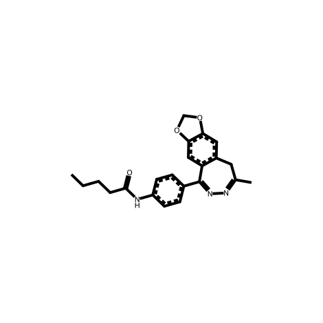 CCCCC(=O)Nc1ccc(C2=NN=C(C)Cc3cc4c(cc32)OCO4)cc1